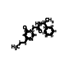 CCCc1cc(=O)n(CC(=O)N[C@@H](C)c2ccccc2)cn1